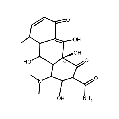 CC1C=CC(=O)C2=C(O)[C@]3(O)C(=O)C(C(N)=O)C(O)C(N(C)C)C3C(O)C21